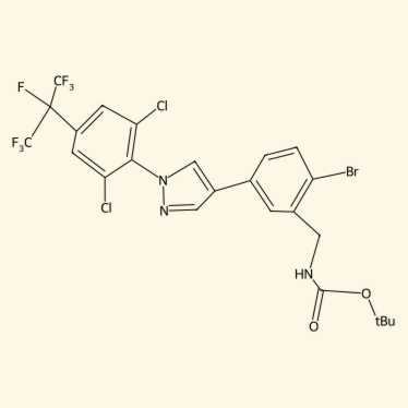 CC(C)(C)OC(=O)NCc1cc(-c2cnn(-c3c(Cl)cc(C(F)(C(F)(F)F)C(F)(F)F)cc3Cl)c2)ccc1Br